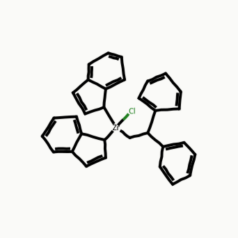 [Cl][Zr]([CH2]C(c1ccccc1)c1ccccc1)([CH]1C=Cc2ccccc21)[CH]1C=Cc2ccccc21